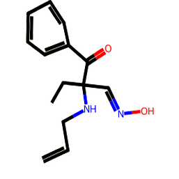 C=CCNC(C=NO)(CC)C(=O)c1ccccc1